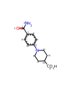 NC(=O)c1ccc(N2CCC(C(=O)O)CC2)cc1